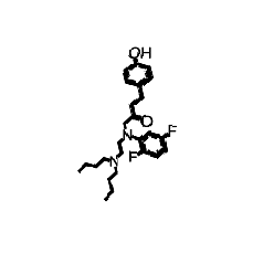 CCCCN(CCCC)CCN(CC(=O)CCc1ccc(O)cc1)c1cc(F)ccc1F